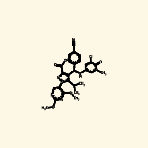 COc1ncc(-n2nc(C(=O)O)c(C(Nc3cc(Cl)c(=O)n(C)c3)c3ccc(C#N)cc3)c2C(C)C)c(OC)n1